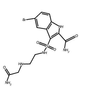 NC(=O)CNCCNS(=O)(=O)c1c(C(N)=O)[nH]c2ccc(Br)cc12